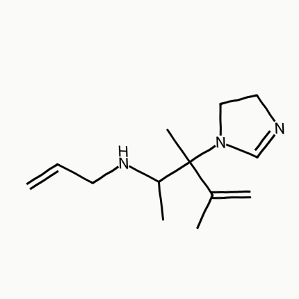 C=CCNC(C)C(C)(C(=C)C)N1C=NCC1